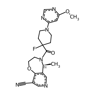 COc1cc(N2CCC(F)(C(=O)N3CCOc4c(C#N)cncc4[C@@H]3C)CC2)ncn1